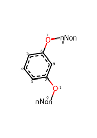 CCCCCCCCCOc1c[c]cc(OCCCCCCCCC)c1